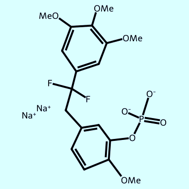 COc1ccc(CC(F)(F)c2cc(OC)c(OC)c(OC)c2)cc1OP(=O)([O-])[O-].[Na+].[Na+]